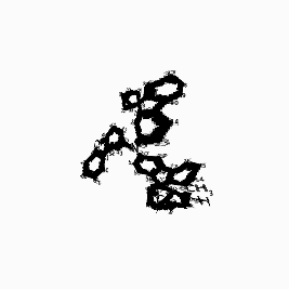 C[C@H]1C2CCC3CC(C2)CC1C31c2ccccc2-c2cc(N(c3ccc4c(c3)C3(CC5CCC3C5)c3ccccc3-4)c3ccc4oc5ccccc5c4c3)ccc21